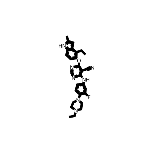 CCc1c(Oc2ncnc(Nc3ccc(N4CCN(CC)CC4)c(F)c3)c2C#N)ccc2[nH]c(C)cc12